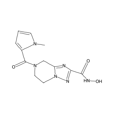 Cn1cccc1C(=O)N1CCn2nc(C(=O)NO)nc2C1